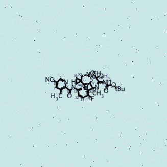 Cc1cc(C#N)cnc1C(=O)Nc1ccc(F)c([C@@]2(C)N=C(NC(=O)OC(C)(C)C)C(C)(C)[S@@]3(=O)=NCC4(CC4)C[C@H]23)n1